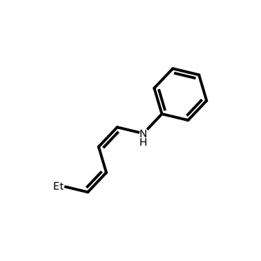 CC/C=C\C=C/Nc1ccccc1